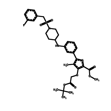 COC(=O)c1sc(-c2cccc(NC3CCN(S(=O)(=O)Cc4cccc(F)c4)CC3)c2)c(C)c1OCC(=O)OC(C)(C)C